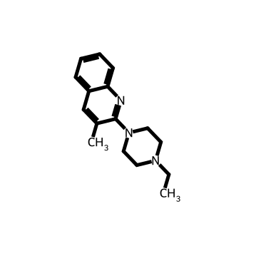 CCN1CCN(c2nc3ccccc3cc2C)CC1